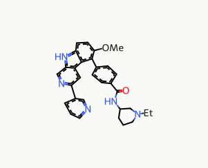 CCN1CCCC(NC(=O)c2ccc(-c3c(OC)ccc4[nH]c5cnc(-c6cccnc6)cc5c34)cc2)C1